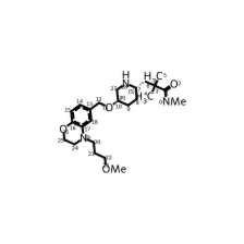 CNC(=O)C(C)(C)C[C@@H]1CC[C@@H](OCc2ccc3c(c2)N(CCCOC)CCO3)CN1